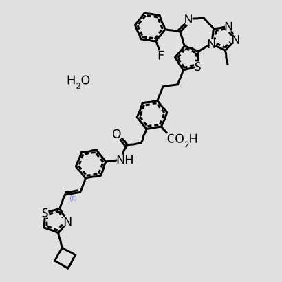 Cc1nnc2n1-c1sc(CCc3ccc(CC(=O)Nc4cccc(/C=C/c5nc(C6CCC6)cs5)c4)c(C(=O)O)c3)cc1C(c1ccccc1F)=NC2.O